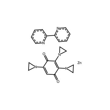 O=C1C=C(N2CC2)C(=O)C(N2CC2)=C1N1CC1.[Zn].c1ccc(-c2ccccn2)nc1